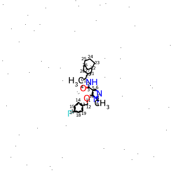 CC(NC(=O)c1cnn(C)c1OCc1ccc(F)cc1)C1CC2CCCC(C2)C1